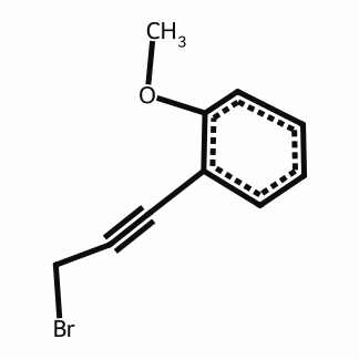 COc1ccccc1C#CCBr